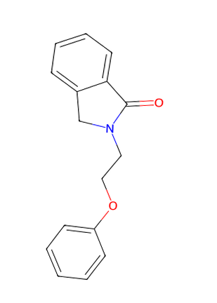 O=C1c2ccccc2CN1CCOc1ccccc1